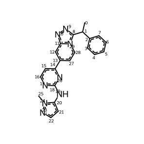 CC(c1ccccc1)c1nnc2cc(-c3ccnc(Nc4ccnn4C)n3)ccn12